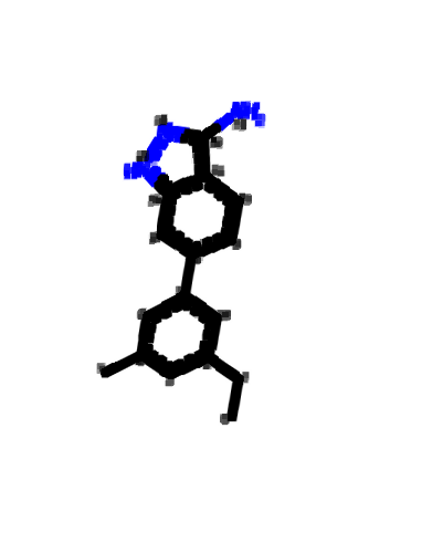 CCc1cc(C)cc(-c2ccc3c(N)n[nH]c3c2)c1